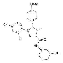 COc1ccc([C@@H]2[C@H](C)C(C(=O)NN3CCCC(O)C3)=NN2c2ccc(Cl)cc2Cl)cc1